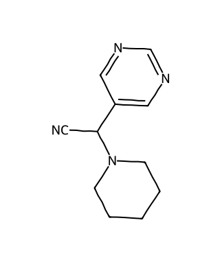 N#CC(c1cncnc1)N1CCCCC1